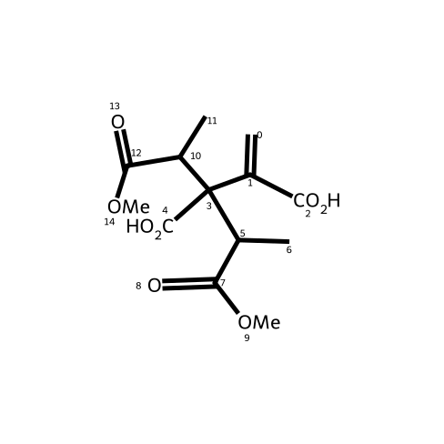 C=C(C(=O)O)C(C(=O)O)(C(C)C(=O)OC)C(C)C(=O)OC